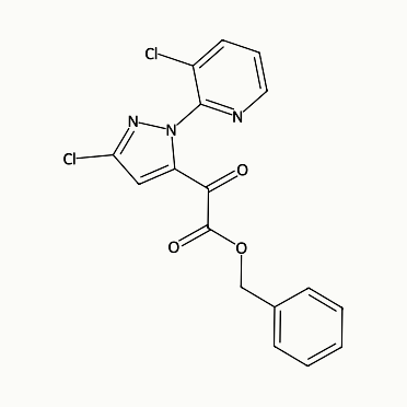 O=C(OCc1ccccc1)C(=O)c1cc(Cl)nn1-c1ncccc1Cl